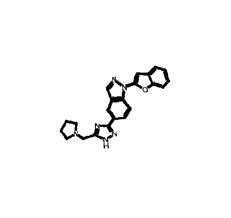 c1ccc2oc(-n3ncc4cc(-c5n[nH]c(CN6CCCC6)n5)ccc43)cc2c1